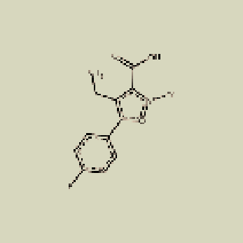 CCc1c(-c2ccc(F)cc2)o[n+]([O-])c1C(=O)O